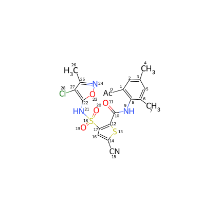 CC(=O)c1cc(C)cc(C)c1NC(=O)c1sc(C#N)cc1S(=O)(=O)Nc1onc(C)c1Cl